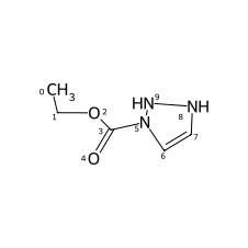 CCOC(=O)N1C=CNN1